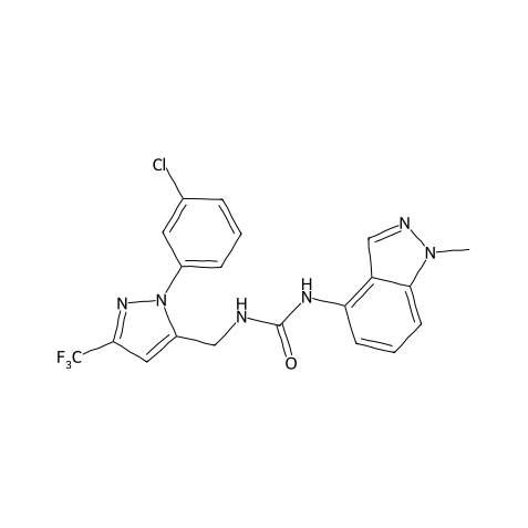 Cn1ncc2c(NC(=O)NCc3cc(C(F)(F)F)nn3-c3cccc(Cl)c3)cccc21